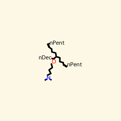 CCCCC/C=C\CCCC(CCC/C=C\CCCCC)C(CCCCCCCCCC)OCCCCCN(C)C